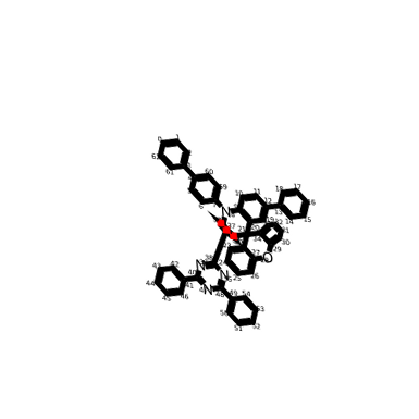 c1ccc(-c2ccc(N3c4ccc(-c5ccccc5)cc4C4(c5ccccc5Oc5ccccc54)c4cc(-c5nc(-c6ccccc6)nc(-c6ccccc6)n5)ccc43)cc2)cc1